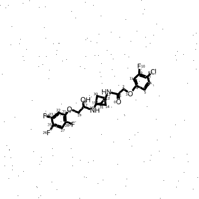 O=C(COc1ccc(Cl)c(F)c1)NC12CC(NC(O)COc3cc(F)c(F)cc3F)(C1)C2